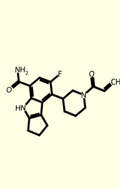 C=CC(=O)N1CCCC(c2c(F)cc(C(N)=O)c3[nH]c4c(c23)CCC4)C1